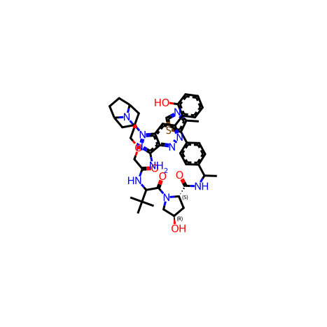 Cc1ncsc1-c1ccc(C(C)NC(=O)[C@@H]2C[C@@H](O)CN2C(=O)C(NC(=O)COCCN2C3CCC2CC(n2nc(N)c4nnc(-c5ccccc5O)cc42)C3)C(C)(C)C)cc1